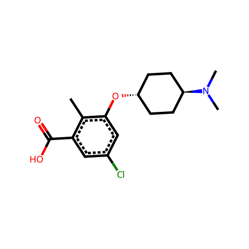 Cc1c(O[C@H]2CC[C@H](N(C)C)CC2)cc(Cl)cc1C(=O)O